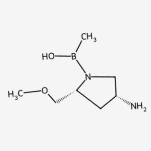 COC[C@H]1C[C@@H](N)CN1B(C)O